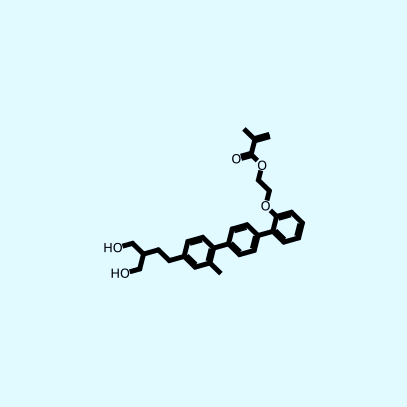 C=C(C)C(=O)OCCOc1ccccc1-c1ccc(-c2ccc(CCC(CO)CO)cc2C)cc1